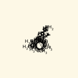 CC[C@H]1OC(=O)[C@H](C)C(=O)[C@H](C)[C@@H](O[C@H]2C[C@@H](N(C)CCc3cn([C@H](CF)[C@H](OC)c4ccc(-c5cnc(N)nc5)cc4)nn3)C[C@@H](C)O2)[C@](C)(OC)C[C@@H](C)C(=O)[C@H](C)[C@H]2N(CCCOCC3CC3)C(=O)O[C@]12C